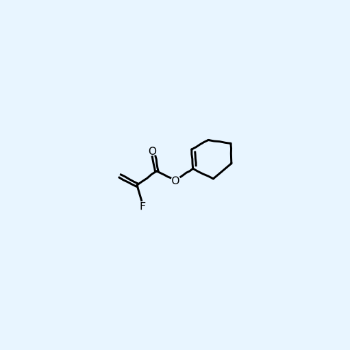 C=C(F)C(=O)OC1=CCCCC1